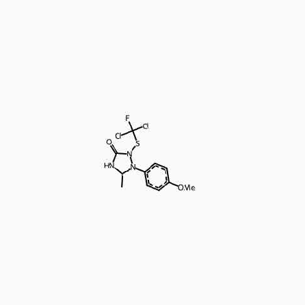 COc1ccc(N2C(C)NC(=O)N2SC(F)(Cl)Cl)cc1